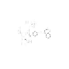 Cc1cc(COc2ccc(C(=O)N[C@]3(CC(=O)NO)CC[C@]4(CC3)CN4)cc2)c2ccccc2n1.O=C(O)C(F)(F)F